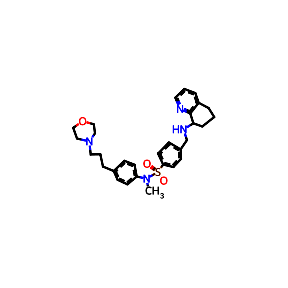 CN(c1ccc(CCCN2CCOCC2)cc1)S(=O)(=O)c1ccc(CNC2CCCc3cccnc32)cc1